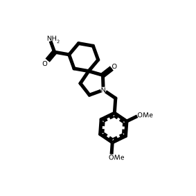 COc1ccc(CN2CCC3(CCCC(C(N)=O)C3)C2=O)c(OC)c1